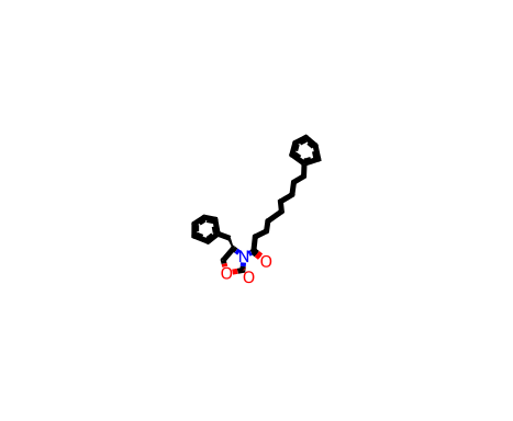 O=C(CCCCCCCCc1ccccc1)N1C(=O)OC[C@H]1Cc1ccccc1